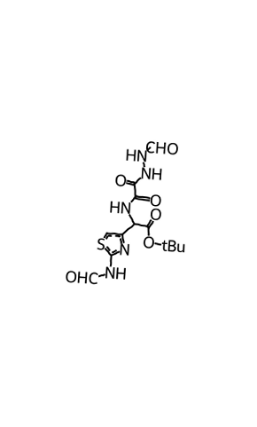 CC(C)(C)OC(=O)C(NC(=O)C(=O)NNC=O)c1csc(NC=O)n1